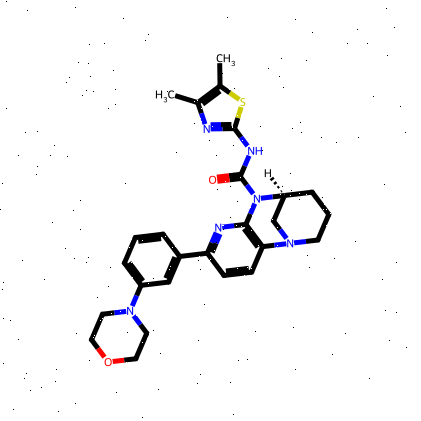 Cc1nc(NC(=O)N2c3nc(-c4cccc(N5CCOCC5)c4)ccc3N3CCC[C@H]2C3)sc1C